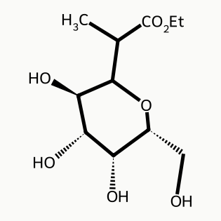 CCOC(=O)C(C)C1O[C@H](CO)[C@H](O)[C@H](O)[C@H]1O